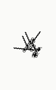 CCCCCCCCCC(=O)OCC(COC(=O)CCCCCCCCC)CC(=O)OCCN(CCOC(=O)CC(COC(=O)CCCCCCCCC)COC(=O)CCCCCCCCC)C(=O)n1cc[n+](C)c1.O=S(=O)([O-])C(F)(F)F